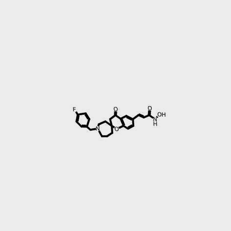 O=C(/C=C/c1ccc2c(c1)C(=O)CC1(CCCN(Cc3ccc(F)cc3)CC1)O2)NO